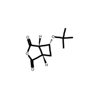 CC(C)(C)O[C@@H]1C[C@@H]2C(=O)OC(=O)[C@@H]21